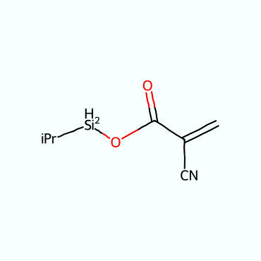 C=C(C#N)C(=O)O[SiH2]C(C)C